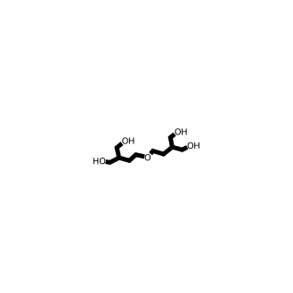 OCC(CO)CCOCCC(CO)CO